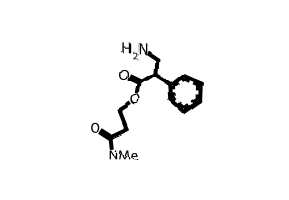 CNC(=O)CCOC(=O)C(CN)c1ccccc1